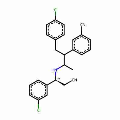 CC(N[C@@H](CC#N)c1cccc(Cl)c1)C(Cc1ccc(Cl)cc1)c1cccc(C#N)c1